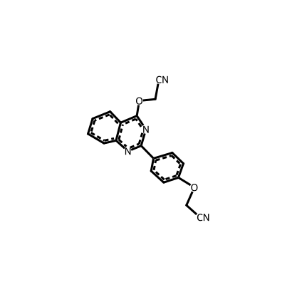 N#CCOc1ccc(-c2nc(OCC#N)c3ccccc3n2)cc1